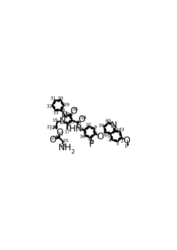 COc1ccc2c(Oc3ccc(NC(=O)c4c(C)n(C[C@@H](C)OC(=O)CN)n(-c5ccccc5)c4=O)cc3F)ccnc2c1